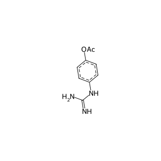 CC(=O)Oc1ccc(NC(=N)N)cc1